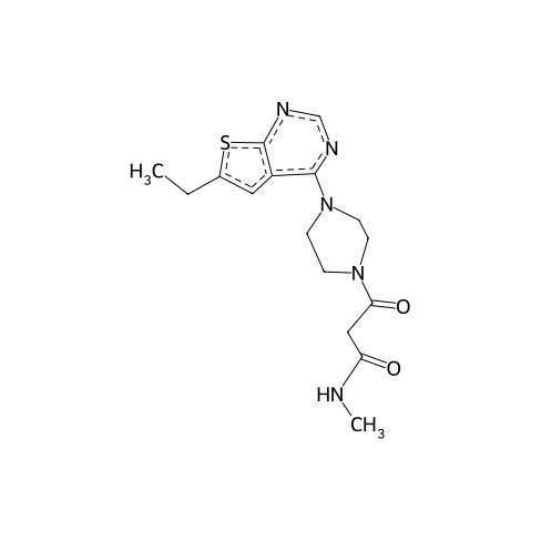 CCc1cc2c(N3CCN(C(=O)CC(=O)NC)CC3)ncnc2s1